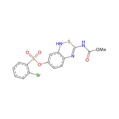 COC(=O)NC1=Nc2ccc(OS(=O)(=O)c3ccccc3Br)cc2NS1